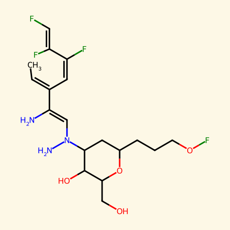 C/C=C(\C=C(F)/C(F)=C/F)C(/N)=C/N(N)C1CC(CCCOF)OC(CO)C1O